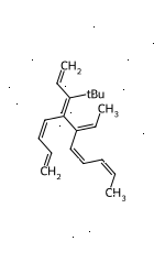 C=C\C=C/C(C(/C=C\C=C/C)=C\C)=C(\C=C)C(C)(C)C